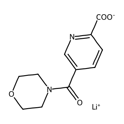 O=C([O-])c1ccc(C(=O)N2CCOCC2)cn1.[Li+]